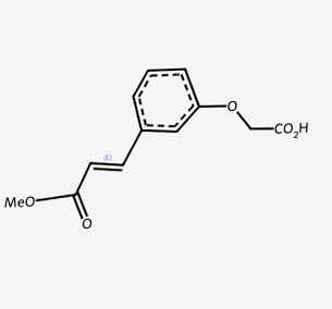 COC(=O)/C=C/c1cccc(OCC(=O)O)c1